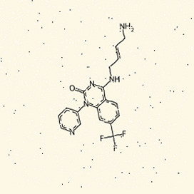 NCC=CCNc1nc(=O)n(-c2cccnc2)c2cc(C(F)(F)F)ccc12